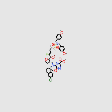 COC(=O)c1cnc2c(n1)N(C[C@@H]1CCO[C@H]1C(OC)/C(F)=C/C[C@H](C)[C@@H](C)S(=O)(=O)N(Cc1ccc(OC)cc1)Cc1ccc(OC)cc1)C[C@@]1(CCCc3cc(Cl)ccc31)CO2